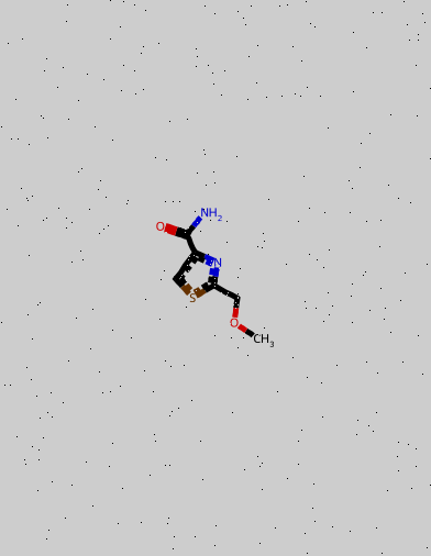 COCc1nc(C(N)=O)cs1